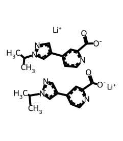 CC(C)n1cc(-c2ccnc(C(=O)[O-])c2)cn1.CC(C)n1cc(-c2ccnc(C(=O)[O-])c2)cn1.[Li+].[Li+]